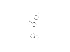 Nc1cc(F)c(-c2cnc(NCc3cccc4c3CCO4)n3cnnc23)cn1